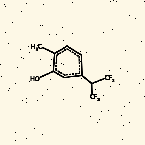 Cc1ccc(C(C(F)(F)F)C(F)(F)F)cc1O